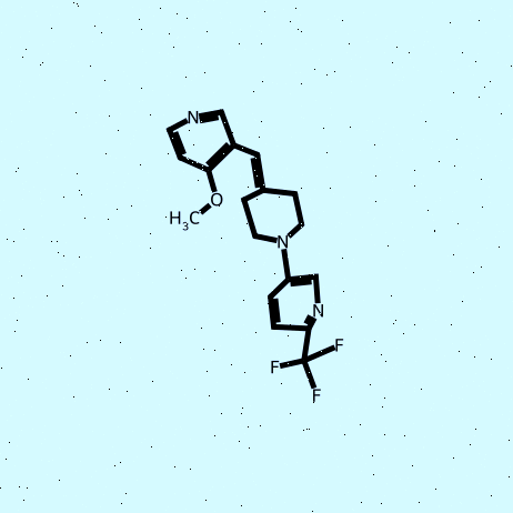 COc1ccncc1C=C1CCN(c2ccc(C(F)(F)F)nc2)CC1